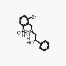 [O-][NH+](O)c1cccc(Br)c1CNC[C@H](O)c1ccccc1